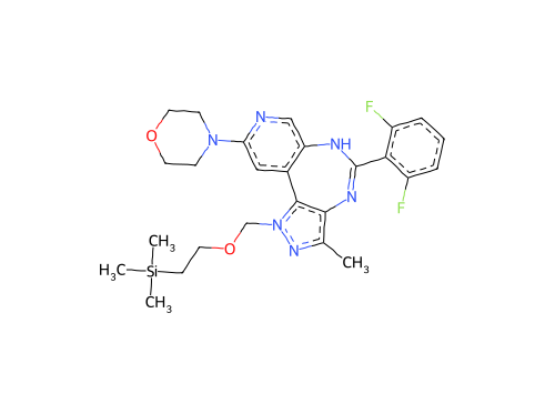 Cc1nn(COCC[Si](C)(C)C)c2c1N=C(c1c(F)cccc1F)Nc1cnc(N3CCOCC3)cc1-2